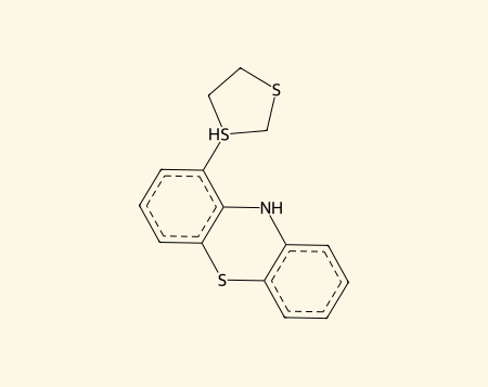 c1ccc2c(c1)Nc1c(cccc1[SH]1CCSC1)S2